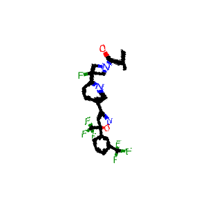 CC(C)C(=O)N1CC(F)(c2ccc(C3=NOC(c4cccc(C(F)(F)F)c4)(C(F)(F)F)C3)cn2)C1